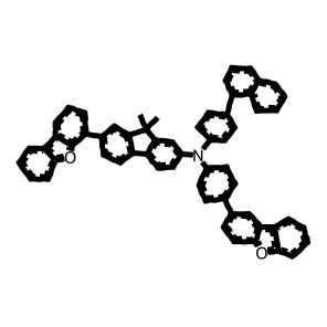 CC1(C)c2cc(-c3cccc4c3oc3ccccc34)ccc2-c2ccc(N(c3ccc(-c4ccc5oc6ccccc6c5c4)cc3)c3ccc(-c4cccc5ccccc45)cc3)cc21